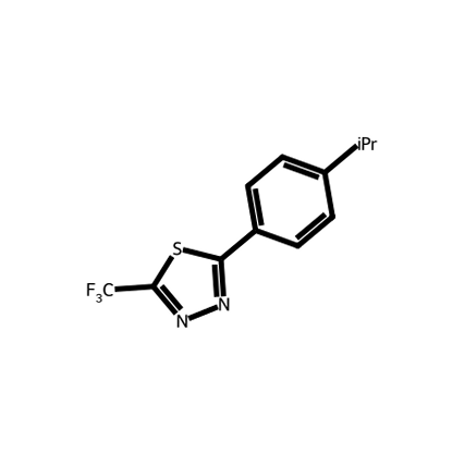 CC(C)c1ccc(-c2nnc(C(F)(F)F)s2)cc1